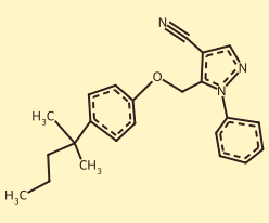 CCCC(C)(C)c1ccc(OCc2c(C#N)cnn2-c2ccccc2)cc1